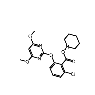 COc1cc(OC)nc(Oc2cccc(Cl)c2C(=O)ON2CCCCC2)n1